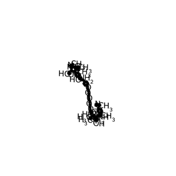 Cc1ncsc1-c1ccc([C@H](C)NC(=O)[C@@H]2C[C@@H](O)CN2C(=O)[C@@H](NC(=O)COCCOCCOCCOCCOc2ccc(CCC(N)(O)c3ccc(C4=N[C@@H](CC(=O)O)c5nnc(C)n5-c5sc(C)c(C)c54)cc3)cc2)C(C)(C)C)cc1